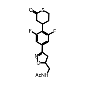 CC(=O)NCC1CC(c2cc(F)c(C3CCSC(=O)C3)c(F)c2)=NO1